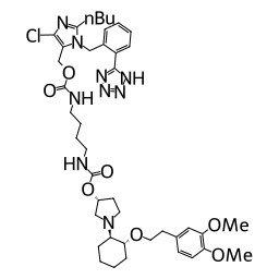 CCCCc1nc(Cl)c(COC(=O)NCCCCNC(=O)O[C@@H]2CCN([C@@H]3CCCC[C@H]3OCCc3ccc(OC)c(OC)c3)C2)n1Cc1ccccc1-c1nnn[nH]1